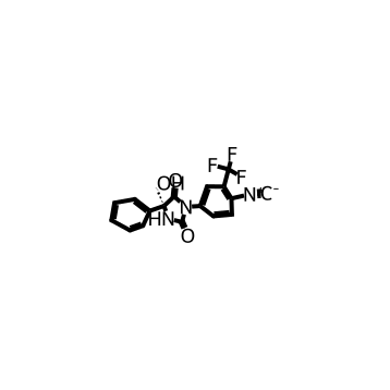 [C-]#[N+]c1ccc(N2C(=O)N[C@@](CO)(c3ccccc3)C2=O)cc1C(F)(F)F